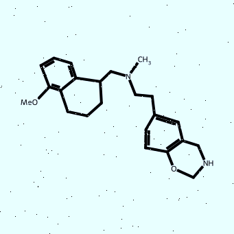 COc1cccc2c1CCCC2CN(C)CCc1ccc2c(c1)CNCO2